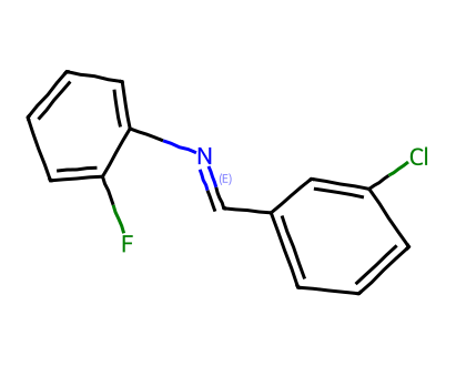 Fc1ccccc1/N=C/c1cccc(Cl)c1